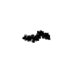 Cc1nc(C)c(C(=O)Nc2ccc(F)c(-c3cn4cc(NC(=O)c5ccc(CN(C)C)cc5)cnc4n3)c2)o1